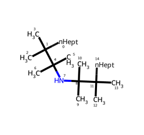 CCCCCCCC(C)(C)C(C)(C)NC(C)(C)C(C)(C)CCCCCCC